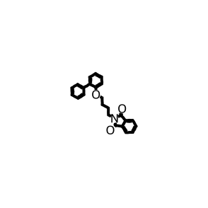 O=C1c2ccccc2C(=O)N1CCCCOc1ccccc1-c1ccccc1